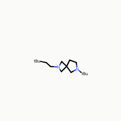 CC(C)(C)CCN1CC2(CCN(C(C)(C)C)C2)C1